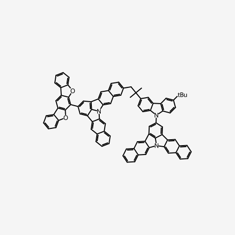 CC(C)(C)c1ccc2c(c1)c1cc(C(C)(C)Cc3ccc4cc5c6cc(-c7c8oc9ccccc9c8cc8c7oc7ccccc78)cc7c8cc9ccccc9cc8n(c5cc4c3)c76)ccc1n2-c1cc2c3cc4ccccc4cc3n3c4cc5ccccc5cc4c(c1)c23